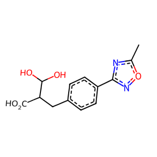 Cc1nc(-c2ccc(CC(C(=O)O)C(O)O)cc2)no1